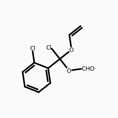 C=COC(Cl)(O[C]=O)c1ccccc1Cl